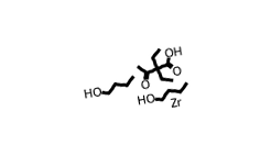 CCC(CC)(C(C)=O)C(=O)O.CCCCO.CCCCO.[Zr]